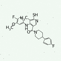 COc1cc(Nc2c(C(=O)N3CCC(c4ccc(F)cc4)CC3)cnc(S)c2C)ccc1F